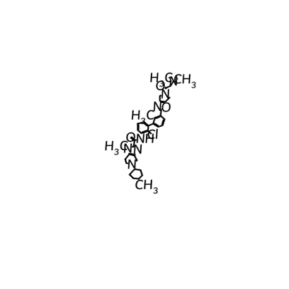 Cc1c(-c2nc3c(o2)CN(C(=O)CN(C)C)C3)cccc1-c1cccc(NC(=O)c2nc3c(n2C)CCN(C2CCC(C)CC2)C3)c1Cl